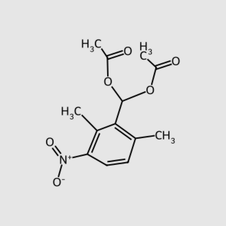 CC(=O)OC(OC(C)=O)c1c(C)ccc([N+](=O)[O-])c1C